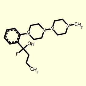 CCCC(O)(F)c1ccccc1N1CCN(N2CCN(C)CC2)CC1